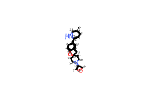 C[C@H]1CC=C(c2ccc3c(c2)CC2(CCN(C4COC4)CC2)O3)NC1